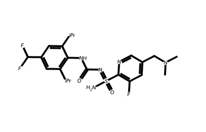 CC(C)c1cc(C(F)F)cc(C(C)C)c1NC(=O)N=S(N)(=O)c1ncc(CN(C)C)cc1F